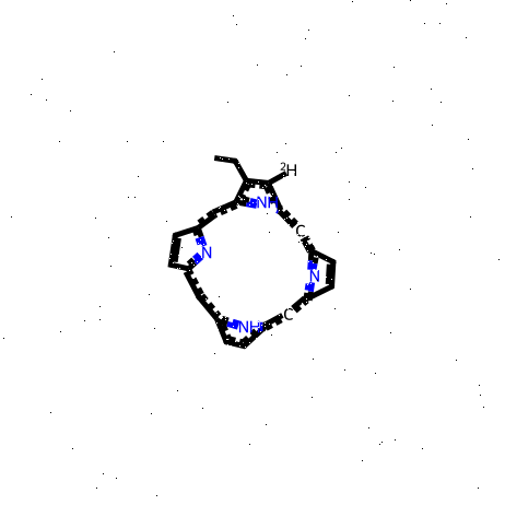 [2H]c1c(CC)c2cc3nc(cc4ccc(cc5nc(cc1[nH]2)C=C5)[nH]4)C=C3